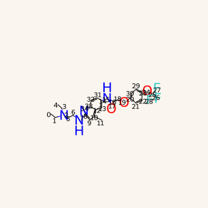 CCN(CC)CCNc1cc(C)c2cc(NC(=O)COc3ccc(OC(F)(F)F)cc3)ccc2n1